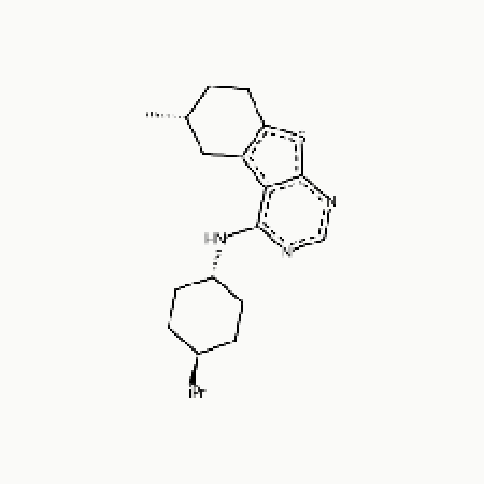 CC(C)[C@H]1CC[C@H](Nc2ncnc3sc4c(c23)C[C@H](C)CC4)CC1